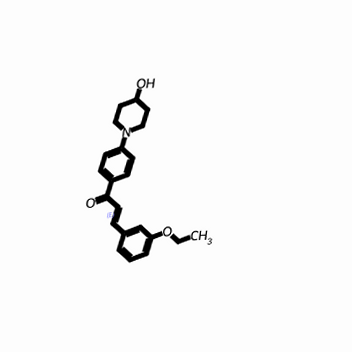 CCOc1cccc(/C=C/C(=O)c2ccc(N3CCC(O)CC3)cc2)c1